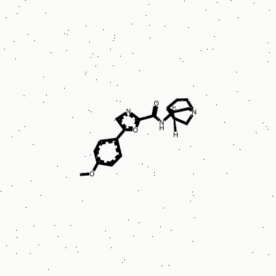 COc1ccc(-c2cnc(C(=O)N[C@H]3CN4CCC3CC4)o2)cc1